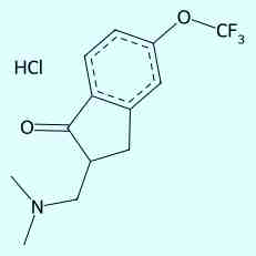 CN(C)CC1Cc2cc(OC(F)(F)F)ccc2C1=O.Cl